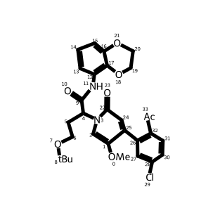 COc1cn(C(CCOC(C)(C)C)C(=O)Nc2cccc3c2OCCO3)c(=O)cc1-c1cc(Cl)ccc1C(C)=O